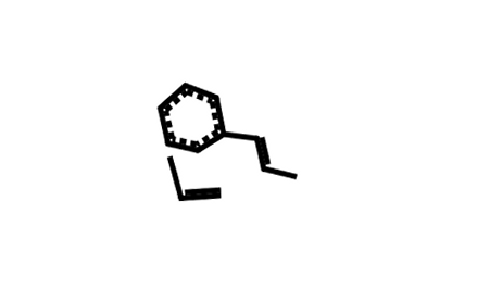 C=CC.CC=Cc1ccccc1